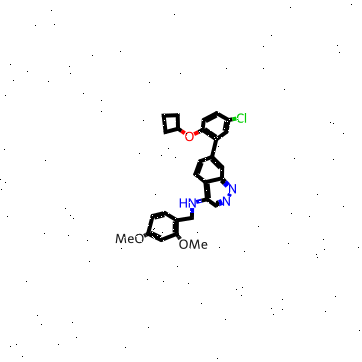 COc1ccc(CNc2cnnc3cc(-c4cc(Cl)ccc4OC4CCC4)ccc23)c(OC)c1